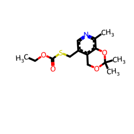 CCOC(=O)SCc1cnc(C)c2c1COC(C)(C)O2